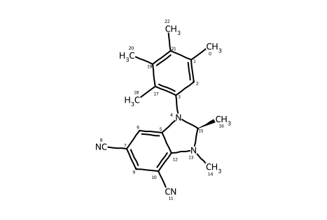 Cc1cc(N2c3cc(C#N)cc(C#N)c3N(C)[C@@H]2C)c(C)c(C)c1C